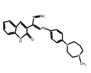 CN1CCCN(c2ccc(N/C=C(\N=N)c3cc4ccccc4[nH]c3=O)cc2)CC1